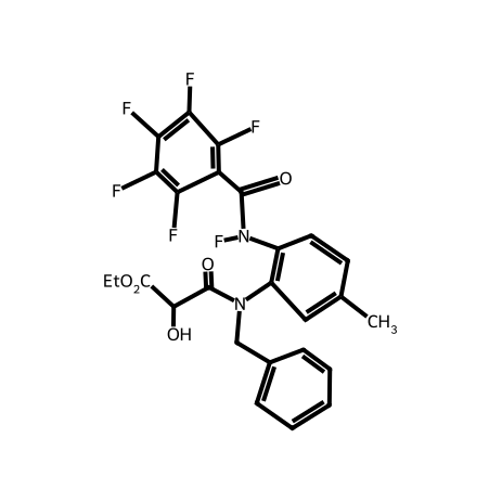 CCOC(=O)C(O)C(=O)N(Cc1ccccc1)c1cc(C)ccc1N(F)C(=O)c1c(F)c(F)c(F)c(F)c1F